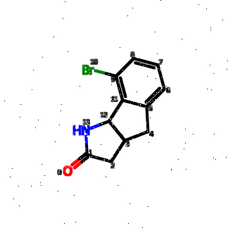 O=C1CC2Cc3cccc(Br)c3C2N1